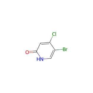 O=c1cc(Cl)c(Br)c[nH]1